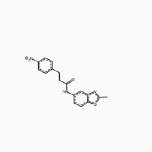 Cc1nc2cc(NC(=O)CCc3ccc([N+](=O)[O-])cc3)ccc2s1